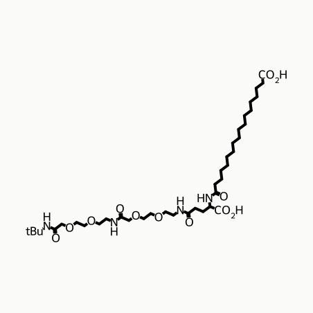 CC(C)(C)NC(=O)COCCOCCNC(=O)COCCOCCNC(=O)CCC(NC(=O)CCCCCCCCCCCCCCCCC(=O)O)C(=O)O